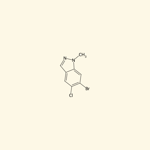 Cn1ncc2cc(Cl)c(Br)cc21